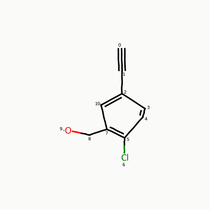 C#Cc1ccc(Cl)c(C[O])c1